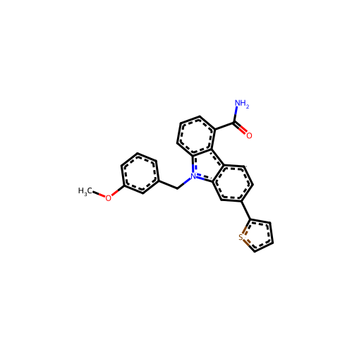 COc1cccc(Cn2c3cc(-c4cccs4)c[c]c3c3c(C(N)=O)cccc32)c1